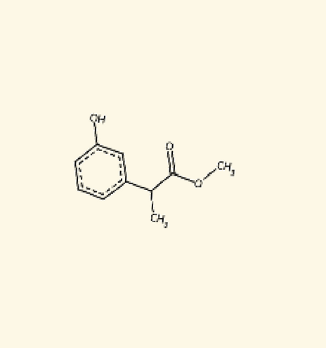 COC(=O)C(C)c1cccc(O)c1